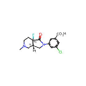 CN1CC[C@]2(F)C(=O)N(c3cc(Cl)cc(C(=O)O)c3)C[C@@H]2C1